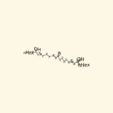 CCCCCCC(O)CSCCCCCC(=O)CCCCCSCC(O)CCCCCC